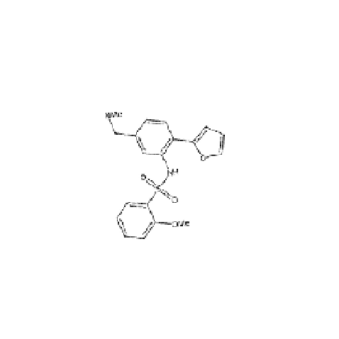 CNCc1ccc(-c2ccco2)c(NS(=O)(=O)c2ccccc2OC)c1